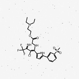 CCN(CC)CCOC(=O)CN/C(=C(/Cl)C(=N)C(F)(F)F)c1ccc(-c2cccc(S(C)(=O)=O)c2)[nH]1